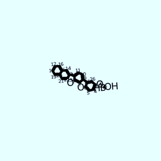 OBOc1ccc2oc3c(ccc4c5cc6ccccc6cc5oc43)c2c1